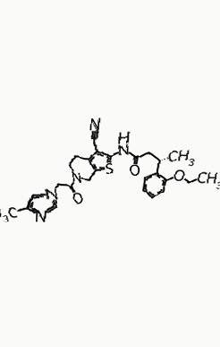 CCOc1ccccc1[C@@H](C)CC(=O)Nc1sc2c(c1C#N)CCN(C(=O)Cn1cnc(C)c1)C2